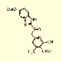 COc1ccc2[nH]c([S+]([O-])Cc3cc(C)c(OC)c(C)n3)nc2c1